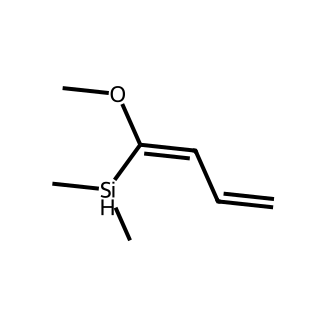 C=CC=C(OC)[SiH](C)C